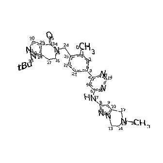 Cc1cc(-c2cc(Nc3cc4n(n3)CCN(C)C4)ncn2)ccc1CN1CCc2c(cnn2C(C)(C)C)C1=O